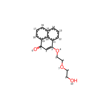 O=C1C=C(OCCOCCO)c2cccc3cccc1c23